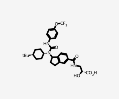 CC(C)(C)[C@H]1CC[C@H](N(C(=O)Nc2ccc(OC(F)(F)F)cc2)C2CCc3cc(C(=O)NC[C@@H](O)C(=O)O)ccc32)CC1